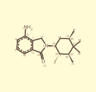 C[C@@H]1[C@@H](N2Cc3c(N)cccc3C2=O)C[C@@H](C)C(C)(C)[C@H]1C